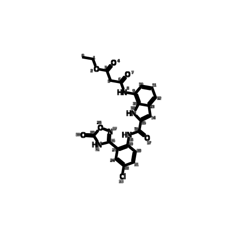 CCOC(=O)CC(=O)Nc1cccc2cc(C(=O)Nc3ccc(Cl)cc3-c3noc(=O)[nH]3)[nH]c12